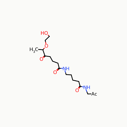 CC(=O)CNC(=O)CCCCNC(=O)CCCC(=O)C(C)OCCO